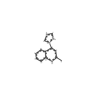 Cc1cc(-n2cncn2)c2ccccc2n1